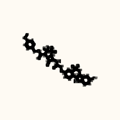 COc1ccc(COC(=O)C2N3C(=O)C(NC(=O)COc4ccc5c(c4)S(=O)(=O)Cc4c-5[nH]c5ccc(F)cc45)C3S(=O)(=O)C2(C)C)cc1